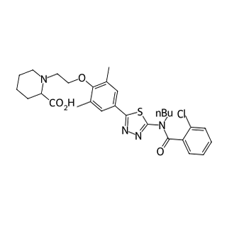 CCCCN(C(=O)c1ccccc1Cl)c1nnc(-c2cc(C)c(OCCN3CCCCC3C(=O)O)c(C)c2)s1